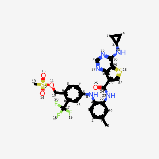 Cc1ccc(Nc2ccc(COS(C)(=O)=O)c(C(F)(F)F)c2)c(NC(=O)c2csc3c(NC4CC4)ncnc23)c1